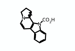 O=C(O)n1c2c(c3ccccc31)C=CN1CCC3=CC=CC321